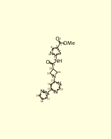 COC(=O)c1cnc(NC(=O)C2CN(c3cc(-n4cccn4)ncn3)C2)s1